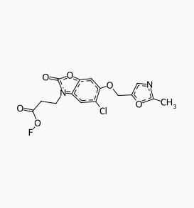 Cc1ncc(COc2cc3oc(=O)n(CCC(=O)OF)c3cc2Cl)o1